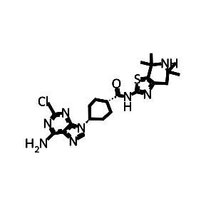 CC1(C)Cc2nc(NC(=O)[C@H]3CC[C@@H](n4cnc5c(N)nc(Cl)nc54)CC3)sc2C(C)(C)N1